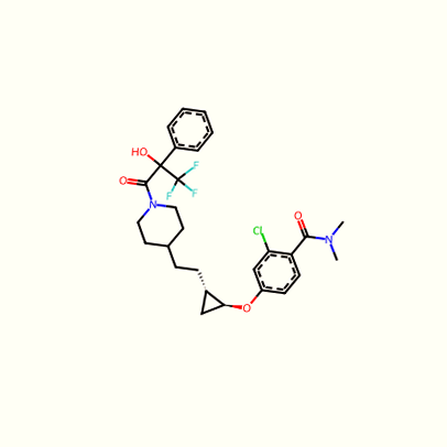 CN(C)C(=O)c1ccc(O[C@H]2C[C@@H]2CCC2CCN(C(=O)C(O)(c3ccccc3)C(F)(F)F)CC2)cc1Cl